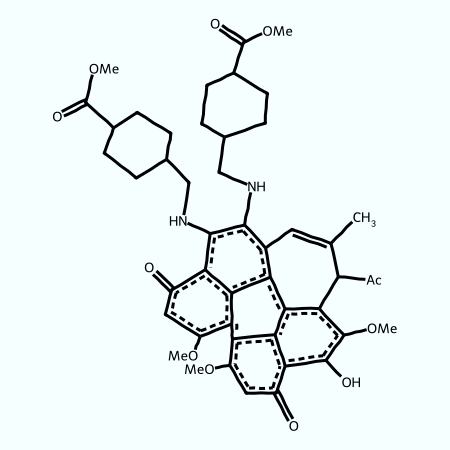 COC(=O)C1CCC(CNc2c(NCC3CCC(C(=O)OC)CC3)c3c(=O)cc(OC)c4c5c(OC)cc(=O)c6c(O)c(OC)c7c(c(c2C=C(C)C7C(C)=O)c34)c65)CC1